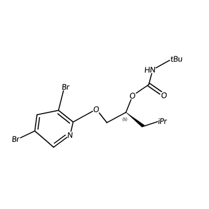 CC(C)C[C@@H](COc1ncc(Br)cc1Br)OC(=O)NC(C)(C)C